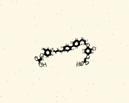 Cc1cc(SC/C=C/c2ccc(-c3ccc(/C=C\COc4ccc(OCC(=O)O)cc4Cl)cc3)cc2)ccc1OCC(=O)O